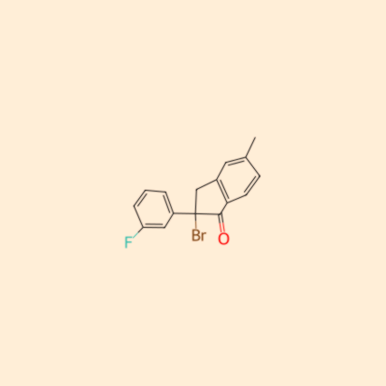 Cc1ccc2c(c1)CC(Br)(c1cccc(F)c1)C2=O